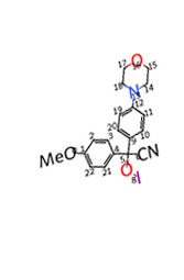 COc1ccc(C(C#N)(OI)c2ccc(N3CCOCC3)cc2)cc1